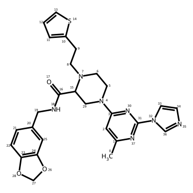 Cc1cc(N2CCN(CCc3cccs3)C(C(=O)NCc3ccc4c(c3)OCO4)C2)nc(-n2ccnc2)n1